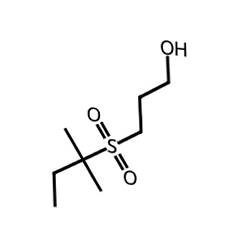 CCC(C)(C)S(=O)(=O)CCCO